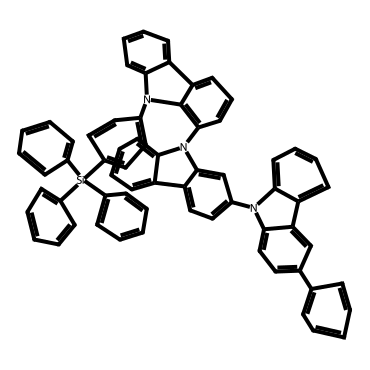 c1ccc(-c2ccc3c(c2)c2ccccc2n3-c2ccc3c4ccccc4n(-c4cccc5c6ccccc6n(-c6ccc([Si](c7ccccc7)(c7ccccc7)c7ccccc7)cc6)c45)c3c2)cc1